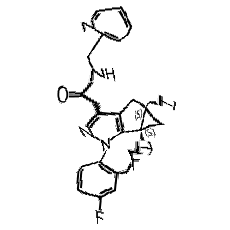 O=C(NCc1ccccn1)c1nn(-c2ccc(F)cc2F)c2c1C[C@@H]1C[C@H]21